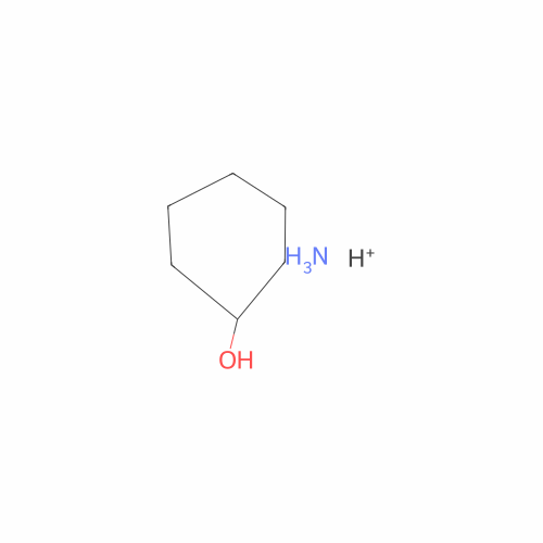 N.OC1CCCCC1.[H+]